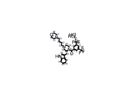 Cl.Cl.O=C(c1cc(C(F)(F)F)cc(C(F)(F)F)c1)N1CCN(C/C=C/CN2CCOCC2)C[C@H]1Cc1c[nH]c2ccccc12